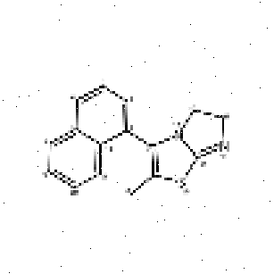 CC1=C(c2cccc3ccccc23)N2CCN=C2S1